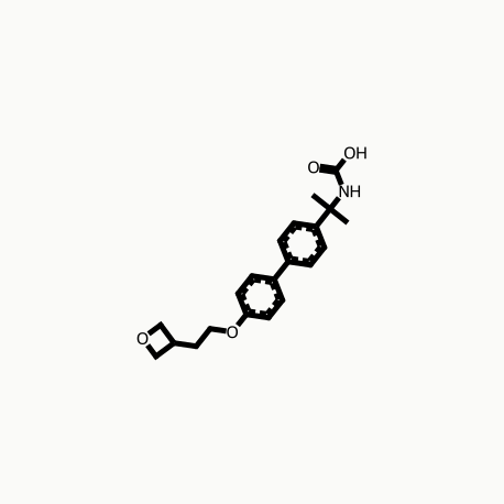 CC(C)(NC(=O)O)c1ccc(-c2ccc(OCCC3COC3)cc2)cc1